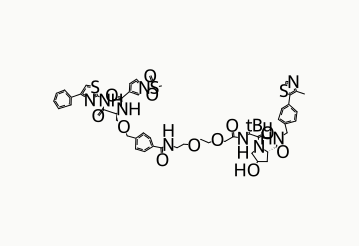 Cc1ncsc1-c1ccc(CNC(=O)[C@@H]2C[C@@H](O)CN2C(=O)[C@@H](NC(=O)COCCOCCNC(=O)c2ccc(COC[C@H](NC(=O)c3ccn(S(C)(=O)=O)c3)C(=O)Nc3nc(-c4ccccc4)cs3)cc2)C(C)(C)C)cc1